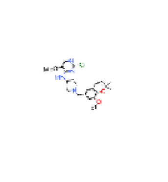 CCOc1cc(CN2CCC(Nc3nc(Cl)ncc3OC)CC2)cc2c1OC(C)(C)C=C2